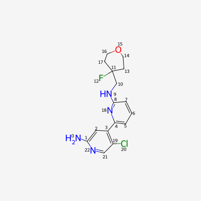 Nc1cc(-c2cccc(NCC3(F)CCOCC3)n2)c(Cl)cn1